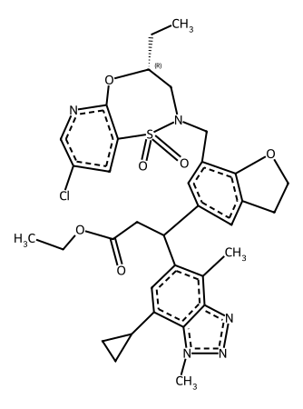 CCOC(=O)CC(c1cc2c(c(CN3C[C@@H](CC)Oc4ncc(Cl)cc4S3(=O)=O)c1)OCC2)c1cc(C2CC2)c2c(nnn2C)c1C